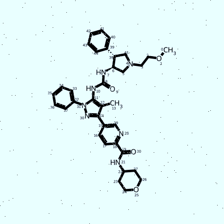 COCCN1C[C@@H](NC(=O)Nc2c(C)c(-c3ccc(C(=O)NC4CCOCC4)nc3)nn2-c2ccccc2)[C@H](c2ccccc2)C1